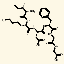 CC[C@H](C)[C@H](N)C(=O)N[C@@H](CCCCN)C(=O)N[C@@H](CC(=O)O)C(=O)N[C@@H](Cc1ccccc1)C(=O)NCC(=O)NCC(=O)O